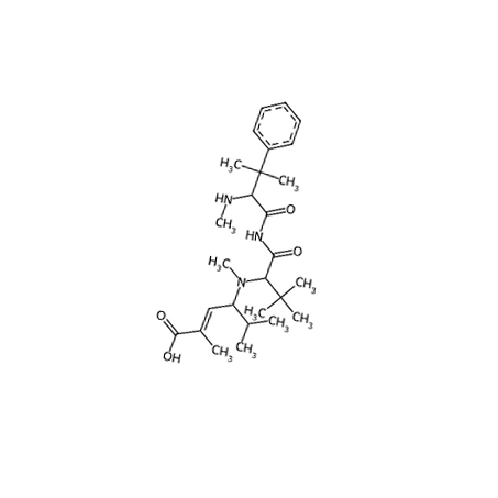 CNC(C(=O)NC(=O)C(N(C)C(/C=C(\C)C(=O)O)C(C)C)C(C)(C)C)C(C)(C)c1ccccc1